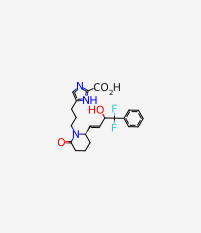 O=C(O)c1ncc(CCCN2C(=O)CCC[C@@H]2/C=C/[C@@H](O)C(F)(F)c2ccccc2)[nH]1